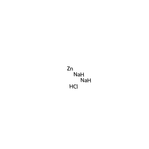 Cl.[NaH].[NaH].[Zn]